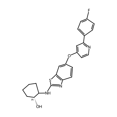 O[C@@H]1CCCCC1Nc1nc2ccc(Oc3ccnc(-c4ccc(F)cc4)c3)cc2s1